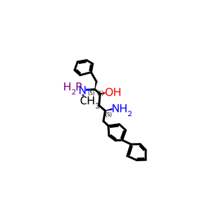 CN(P)[C@@H](Cc1ccccc1)[C@@H](O)C[C@@H](N)Cc1ccc(-c2ccccc2)cc1